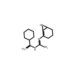 C=C(N/C(N)=N/C1=C2BC2CCC1)C1CCCCC1